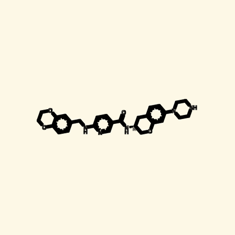 O=C(N[C@H]1COc2cc(N3CCNCC3)ccc2C1)c1ccc(NCc2ccc3c(c2)OCCO3)nc1